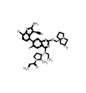 C=CC(=O)N1CC[C@H](N(CC)c2nc(OC[C@@]34CCCN3C[C@H](F)C4)nc3cc(-c4ccc(F)c5sc(N)c(C#N)c45)c(F)cc23)[C@@H]1C